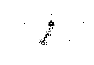 O=C(O)CCCCC(=O)OCCOc1ccccc1